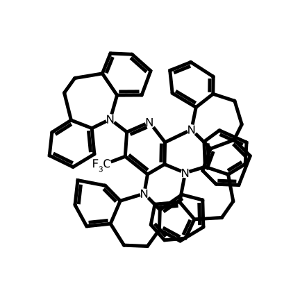 FC(F)(F)c1c(N2c3ccccc3CCc3ccccc32)nc(N2c3ccccc3CCc3ccccc32)c(N2c3ccccc3CCc3ccccc32)c1N1c2ccccc2CCc2ccccc21